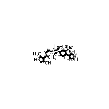 C=c1[nH]cc(C#N)/c1=C(C)/C=C\CNS(=O)(=O)c1ccc(-c2cn[nH]c2)c(P(C)(C)=O)c1